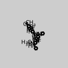 CCNc1cc(C(c2ccc(Nc3ccccc3)c(NC(=O)c3ccc(C(c4ccc(C(C)=O)cc4)(C(F)(F)F)C(F)(F)F)cc3)c2)(C(F)(F)F)C(F)(F)F)ccc1Nc1ccccc1